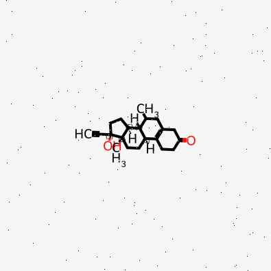 C#C[C@]1(O)CC[C@H]2[C@@H]3C(C)CC4=C(CCC(=O)C4)[C@H]3CC[C@@]21C